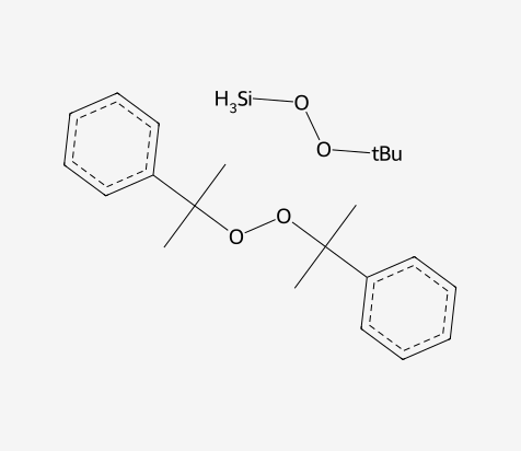 CC(C)(C)OO[SiH3].CC(C)(OOC(C)(C)c1ccccc1)c1ccccc1